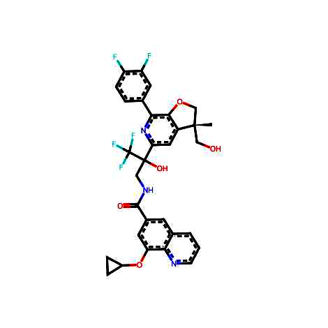 C[C@]1(CO)COc2c1cc(C(O)(CNC(=O)c1cc(OC3CC3)c3ncccc3c1)C(F)(F)F)nc2-c1ccc(F)c(F)c1